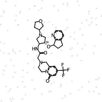 O=C(CN1CCn2c(cc(C(F)(F)F)cc2=O)C1)NC1CN(C2CCOC2)C[C@@H]1OC1CCc2cccnc21